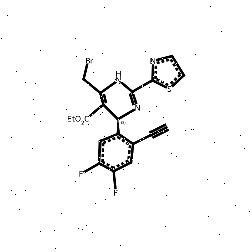 C#Cc1cc(F)c(F)cc1[C@@H]1N=C(c2nccs2)NC(CBr)=C1C(=O)OCC